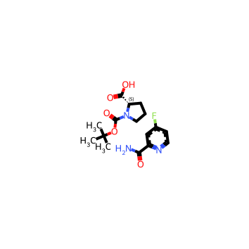 CC(C)(C)OC(=O)N1CCC[C@H]1C(=O)O.NC(=O)c1cc(F)ccn1